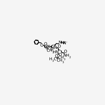 CN(CC(=O)OCc1ccccc1)NC(=O)C[C@H](CCN=[N+]=[N-])NC(=O)[C@H](CCC(N)=O)NC(=O)OC(C)(C)C